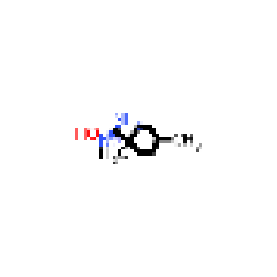 CC1CCC(C)(/C(N)=N/O)CC1